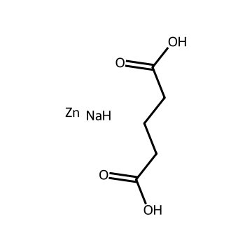 O=C(O)CCCC(=O)O.[NaH].[Zn]